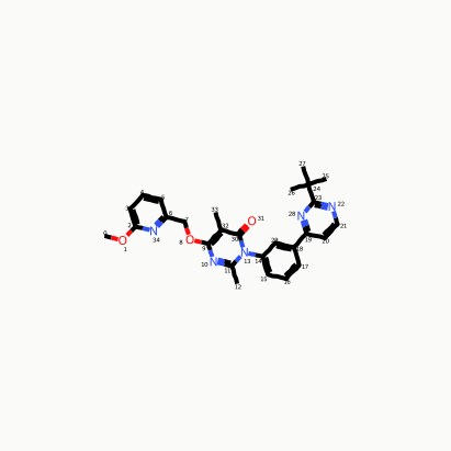 COc1cccc(COc2nc(C)n(-c3cccc(-c4ccnc(C(C)(C)C)n4)c3)c(=O)c2C)n1